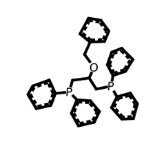 c1ccc(COC(CP(c2ccccc2)c2ccccc2)CP(c2ccccc2)c2ccccc2)cc1